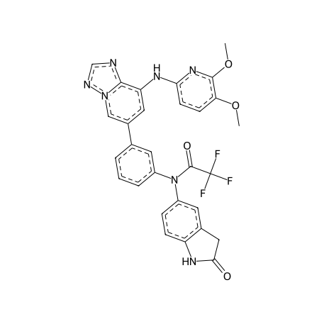 COc1ccc(Nc2cc(-c3cccc(N(C(=O)C(F)(F)F)c4ccc5c(c4)CC(=O)N5)c3)cn3ncnc23)nc1OC